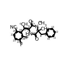 CC(=C1NC(=O)C(C)(Cc2ccccc2)N(C)C1=O)c1c(C#N)ccc(F)c1F